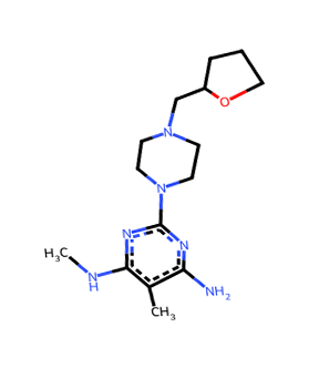 CNc1nc(N2CCN(CC3CCCO3)CC2)nc(N)c1C